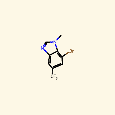 Cn1[c]nc2cc(C(F)(F)F)cc(Br)c21